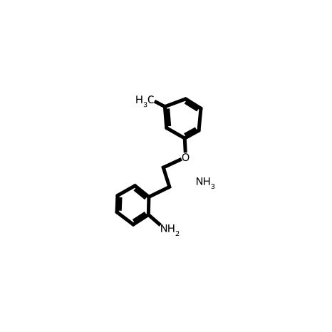 Cc1cccc(OCCc2ccccc2N)c1.N